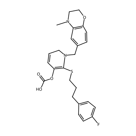 CN1CCOc2ccc(CN3CC=CC(OC(=O)O)=C3SCCCc3ccc(F)cc3)cc21